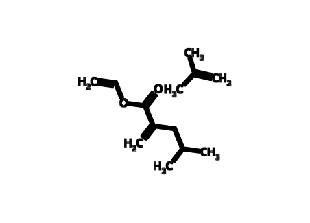 C=C(C)C.C=COC(=O)C(=C)CC(C)C